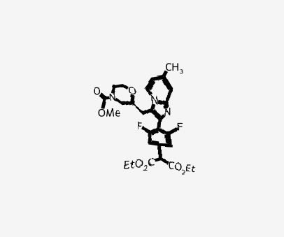 CCOC(=O)C(C(=O)OCC)c1cc(F)c(-c2nc3cc(C)ccn3c2C[C@H]2CN(C(=O)OC)CCO2)c(F)c1